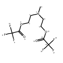 CN(CCOC(=O)C(F)(F)F)CCOC(=O)C(F)(F)F